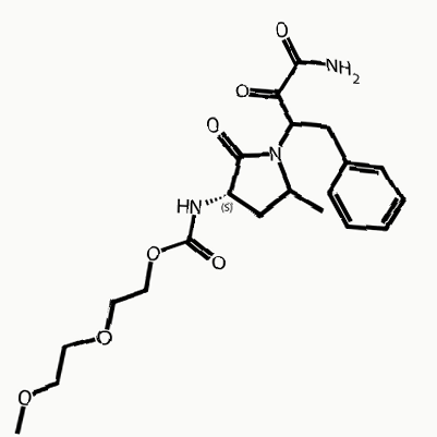 COCCOCCOC(=O)N[C@H]1CC(C)N(C(Cc2ccccc2)C(=O)C(N)=O)C1=O